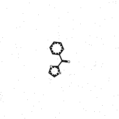 O=C(c1[c]cccc1)c1ncco1